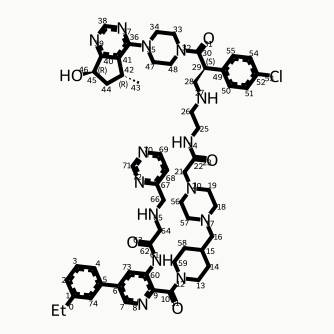 CCc1cccc(-c2cnc(C(=O)N3CCC(CN4CCN(CC(=O)NCCNC[C@@H](C(=O)N5CCN(c6ncnc7c6[C@H](C)C[C@H]7O)CC5)c5ccc(Cl)cc5)CC4)CC3)c(NC(=O)CNCc3ccncn3)c2)c1